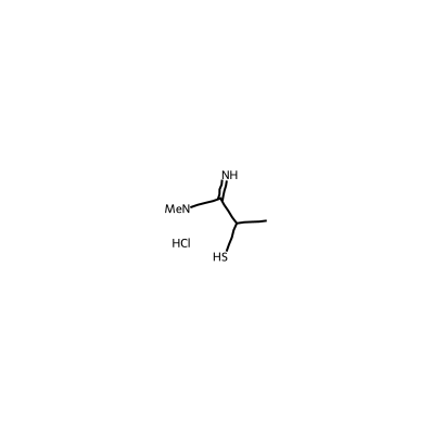 CNC(=N)C(C)S.Cl